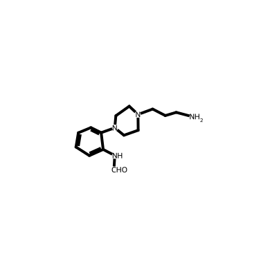 NCCCN1CCN(c2ccccc2NC=O)CC1